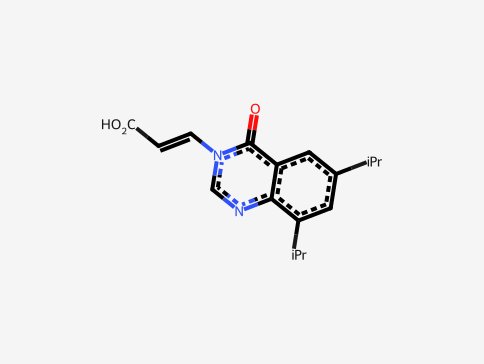 CC(C)c1cc(C(C)C)c2ncn(C=CC(=O)O)c(=O)c2c1